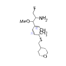 C/C=C(\C=C/C(C)SCC1CCOCC1)C(OC)C(N)CF